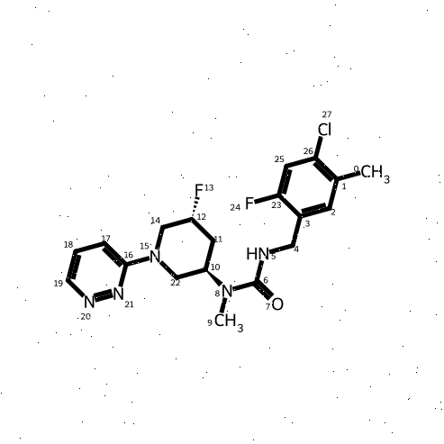 Cc1cc(CNC(=O)N(C)[C@@H]2C[C@@H](F)CN(c3cccnn3)C2)c(F)cc1Cl